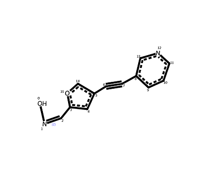 O/N=C\c1cc(C#Cc2cccnc2)co1